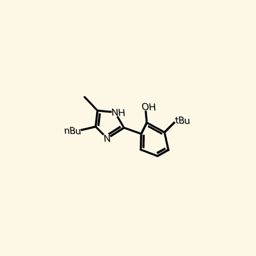 CCCCc1nc(-c2cccc(C(C)(C)C)c2O)[nH]c1C